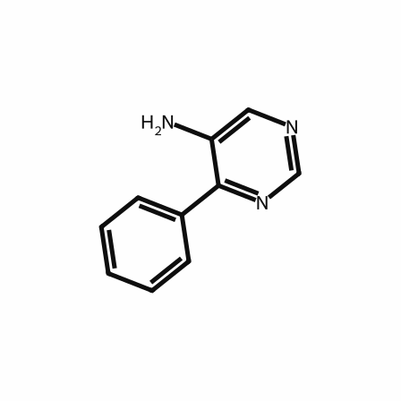 Nc1cncnc1-c1ccccc1